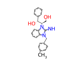 Cc1ccc(Cn2c(=N)n([C@H](CO)[C@H](O)c3ccccc3)c3ccccc32)cc1